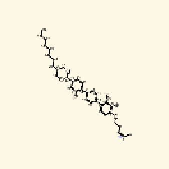 C/C=C\CCOc1ccc(-c2ccc(-c3ccc(C4OCC(CCCCCCCC)CO4)cc3F)cc2)c(F)c1F